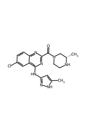 Cc1cc(Nc2nc(C(=O)N3CCN[C@@H](C)C3)nc3ccc(Cl)cc23)n[nH]1